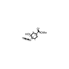 COC(=O)[C@H]1CC[C@H](N=[N+]=[N-])[C@H](O)C1